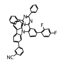 N#Cc1cccc(-c2ccc3c4ccccc4n(-c4ccc(-c5ccc(F)cc5F)cc4-c4nc(-c5ccccc5)nc(-c5ccccc5)n4)c3c2)c1